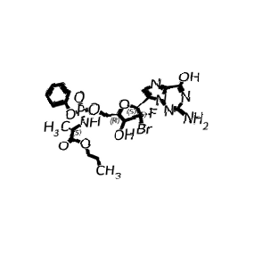 CCCOC(=O)[C@H](C)NP(=O)(OC[C@H]1O[C@@H](c2cnc3c(O)nc(N)nn23)[C@@](F)(Br)C1O)Oc1ccccc1